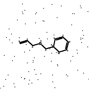 C=CCOCN1C=CC=CC1